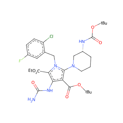 CCOC(=O)c1c(NC(N)=O)c(C(=O)OC(C)(C)C)c(N2CCC[C@@H](NC(=O)OC(C)(C)C)C2)n1Cc1cc(F)ccc1Cl